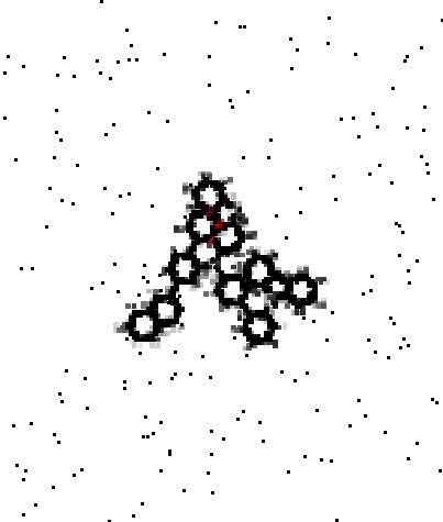 c1ccc(-c2ccc(-c3ccc4ccccc4c3)cc2N(c2ccc(-c3ccccc3-n3c4ccccc4c4ccccc43)cc2)c2ccc3sc4ccccc4c3c2)cc1